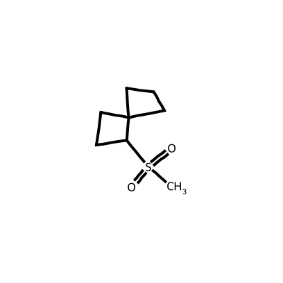 CS(=O)(=O)C1CCC12CCC2